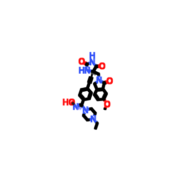 CCN1CCN(/C(=N/O)c2ccc(C#C[C@]3(CN4Cc5ccc(OC)cc5C4=O)NC(=O)NC3=O)cc2)CC1